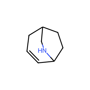 C1=CC2CCC(C1)CN2